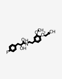 C#CCOc1ccc(CCNC(=O)[C@@H](O)Cc2ccc(F)cc2)cc1OC